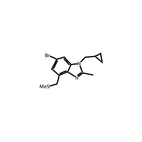 CSCc1cc(Br)cc2c1nc(C)n2CC1CC1